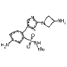 CC(C)(C)NS(=O)(=O)c1cc(N)ccc1-c1cnc(N2CC(N)C2)s1